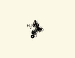 CCOc1nc(N)nc2c1ncn2[C@@H]1O[C@H](CO[P@]2(=O)OCC[C@H](c3ccccc3Cl)O2)[C@H]2OC(=O)O[C@]21C